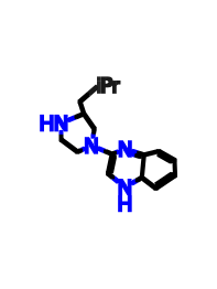 CC(C)CC1CN(C2=CNC3C=CC=CC3=N2)CCN1